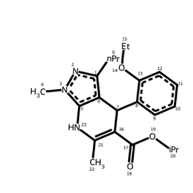 CCCc1nn(C)c2c1C(c1ccccc1OCC)C(C(=O)OC(C)C)=C(C)N2